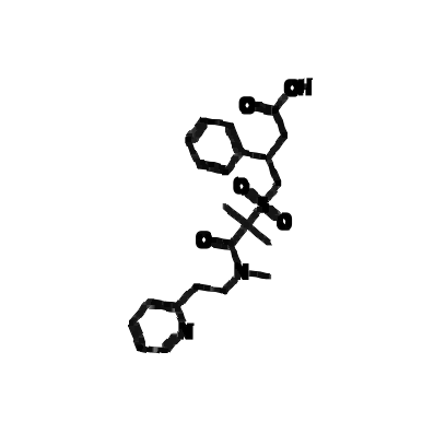 CN(CCc1ccccn1)C(=O)C(C)(C)S(=O)(=O)CC(CC(=O)O)c1ccccc1